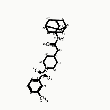 Cc1cccc(S(=O)(=O)N2CCC(CC(=O)NC34CC5CC(CC(C5)C3)C4)CC2)c1